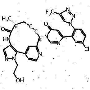 C[C@@H]1CCC[C@H](n2cnc(-c3cc(Cl)ccc3-n3cc(C(F)(F)F)nn3)cc2=O)c2cc(ccn2)-c2c(cnn2CCO)NC1=O